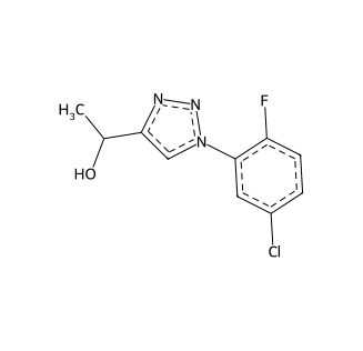 CC(O)c1cn(-c2cc(Cl)ccc2F)nn1